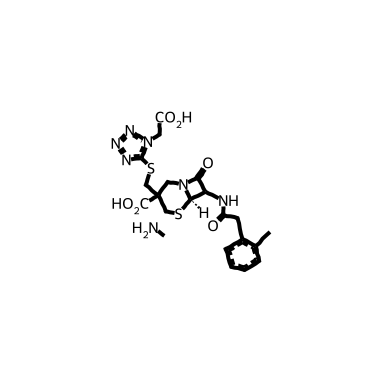 CN.Cc1ccccc1CC(=O)NC1C(=O)N2CC(CSc3nnnn3CC(=O)O)(C(=O)O)CS[C@H]12